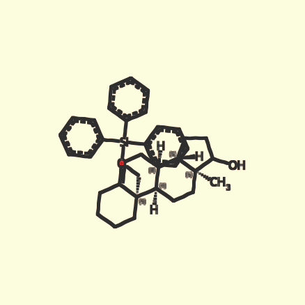 C[C@]12CC[C@@H]3[C@@H](CC=C4CCCC[C@@]43CO[Si](c3ccccc3)(c3ccccc3)c3ccccc3)[C@@H]1CCC2O